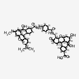 C/N=c1/ccc2c(-c3ccc(C(=O)NCc4ccc(C(=O)NCc5c6oc7cc(O)ccc7c(-c7ccc(C(=O)O)cc7C(=O)O)c-6ccc5=O)cc4)cc3C(=O)O)c3ccc(N(C)C)cc3oc-2c1